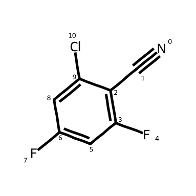 N#Cc1c(F)cc(F)cc1Cl